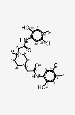 Cc1cc(O)c(NC(=O)CN2CC[N+](C)(CC(=O)Nc3cc(Cl)c(C)cc3O)CC2)cc1Cl